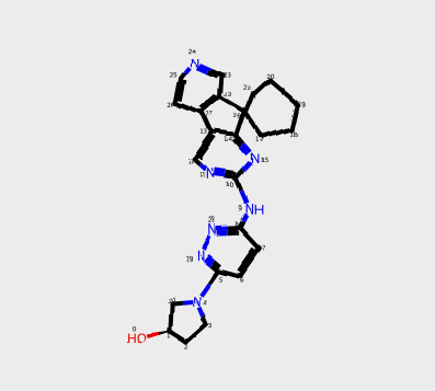 O[C@@H]1CCN(c2ccc(Nc3ncc4c(n3)C3(CCCCC3)c3cnccc3-4)nn2)C1